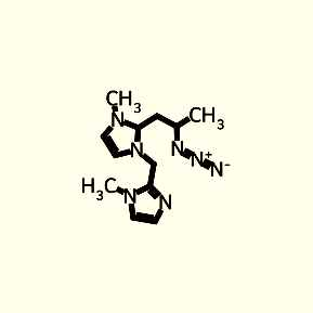 CC(CC1N(C)C=CN1Cc1nccn1C)N=[N+]=[N-]